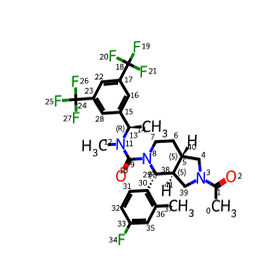 CC(=O)N1C[C@H]2CCN(C(=O)N(C)[C@H](C)c3cc(C(F)(F)F)cc(C(F)(F)F)c3)[C@@H](c3ccc(F)cc3C)[C@@H]2C1